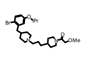 COCC(=O)N1CCC(CCCN2CCC(Cc3cc(OC(C)C)ccc3Br)CC2)CC1